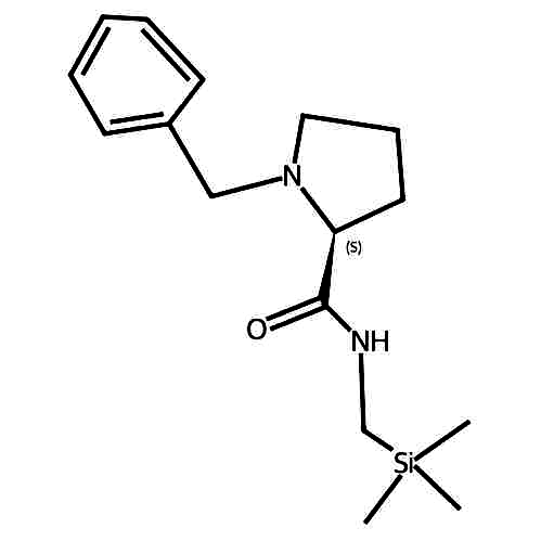 C[Si](C)(C)CNC(=O)[C@@H]1CCCN1Cc1ccccc1